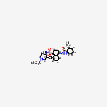 CCOC(=O)N1CC[C@@H](NS(=O)(=O)c2ccc(NC(=O)c3ccccc3C)c3c2CCCC3)[C@@H](C)C1